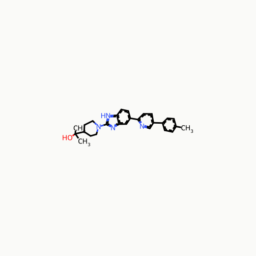 Cc1ccc(-c2ccc(-c3ccc4[nH]c(N5CCC(C(C)(C)O)CC5)nc4c3)nc2)cc1